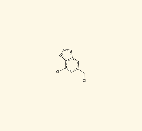 ClCc1cc(Cl)c2occc2c1